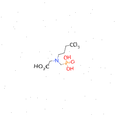 O=C(O)CN(CCCC(Cl)(Cl)Cl)CP(=O)(O)O